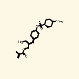 C=C(C)C(=O)OCC(CO)CC1CCC(OC(F)(F)C2CCC(CCCCC)CC2)CC1